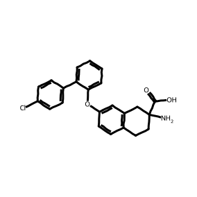 NC1(C(=O)O)CCc2ccc(Oc3ccccc3-c3ccc(Cl)cc3)cc2C1